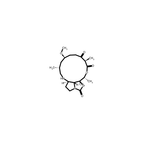 CO[C@H]1CCC(=O)[C@@H](C)C(=O)O[C@H](C)[C@@]2(C)OC(=O)N3CC[C@@H](NC[C@H](C)C1)[C@@H]32